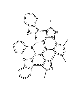 Cc1nn2c3c(C)cc(C)c4c3-n3c5c(c6oc7ccccc7c6c1c52)B(c1ccccc1)c1c2oc5ccccc5c2c2c(C)nn4c2c13